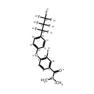 CN(C)C(=O)c1ccc(Oc2ccc(C(F)(F)C(F)(F)C(F)(F)F)cc2)c(F)c1